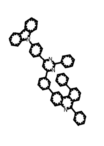 c1ccc(-c2nc(-c3ccc(-n4c5ccccc5c5ccccc54)cc3)cc(-c3cccc(-c4ccc5nc(-c6ccccc6)c6cccc(-c7ccccc7)c6c5c4)c3)n2)cc1